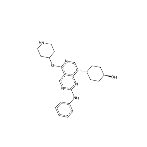 O[C@H]1CC[C@H](c2cnc(OC3CCNCC3)c3cnc(Nc4ccccc4)nc32)CC1